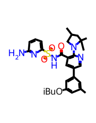 Cc1cc(OCC(C)C)cc(-c2cnc(N3CC(C)CC3(C)C)c(C(=O)NS(=O)(=O)c3cccc(N)n3)c2)c1